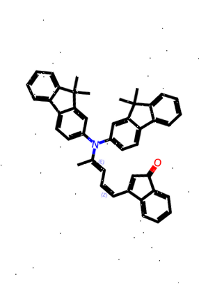 C/C(=C\C=C/C1=CC(=O)c2ccccc21)N(c1ccc2c(c1)C(C)(C)c1ccccc1-2)c1ccc2c(c1)C(C)(C)c1ccccc1-2